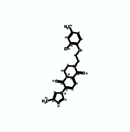 Cc1ccc(OCCN2CCn3c(ccc(-n4cnc(C)c4)c3=O)C2=O)c(Cl)c1